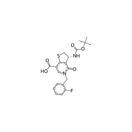 CC(C)(C)OC(=O)N[C@H]1CSc2c(C(=O)O)cn(Cc3ccccc3F)c(=O)c21